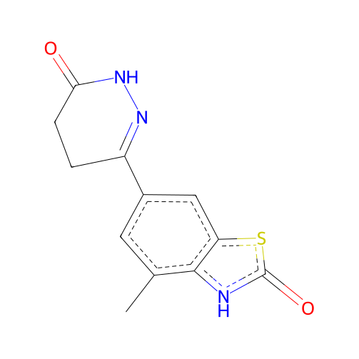 Cc1cc(C2=NNC(=O)CC2)cc2sc(=O)[nH]c12